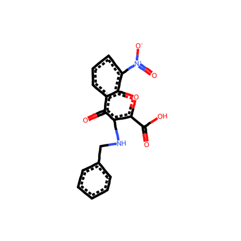 O=C(O)c1oc2c([N+](=O)[O-])cccc2c(=O)c1NCc1ccccc1